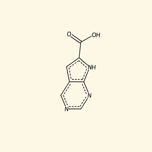 O=C(O)c1cc2cncnc2[nH]1